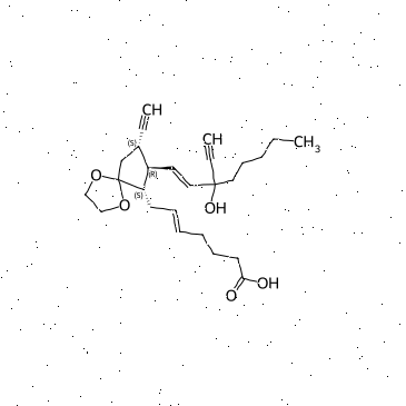 C#C[C@H]1CC2(OCCO2)[C@@H](CC=CCCCC(=O)O)[C@@H]1C=CC(O)(C#C)CCCCC